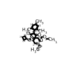 CCOC(=O)OC1=C(c2c(C)cc(C)cc2C)C(=O)N(OC2CCC2)C12CCN(OC)CC2